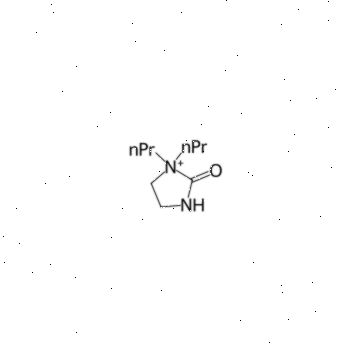 CCC[N+]1(CCC)CCNC1=O